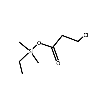 CC[Si](C)(C)OC(=O)CCCl